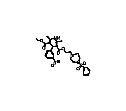 CCOC(=O)C1=C(C)NC(C)=C(C(=O)OCCN2CCN(S(=O)(=O)c3ccccc3)CC2)C1c1cccc([N+](=O)[O-])c1